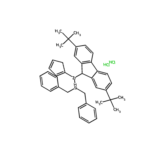 CC(C)(C)c1ccc2c(c1)[CH]([Zr]([C]1=CC=CC1)[SiH](Cc1ccccc1)Cc1ccccc1)c1cc(C(C)(C)C)ccc1-2.Cl.Cl